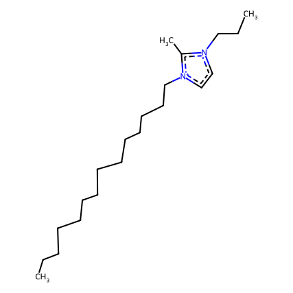 CCCCCCCCCCCCCC[n+]1ccn(CCC)c1C